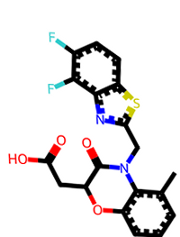 Cc1cccc2c1N(Cc1nc3c(F)c(F)ccc3s1)C(=O)C(CC(=O)O)O2